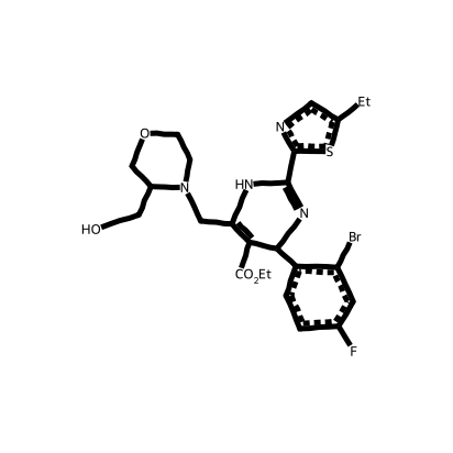 CCOC(=O)C1=C(CN2CCOCC2CO)NC(c2ncc(CC)s2)=NC1c1ccc(F)cc1Br